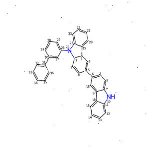 C1=CC2C(C=C1c1ccc3[nH]c4ccccc4c3c1)c1ccccc1N2c1cccc(-c2ccccc2)c1